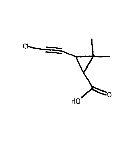 CC1(C)C(C#CCl)C1C(=O)O